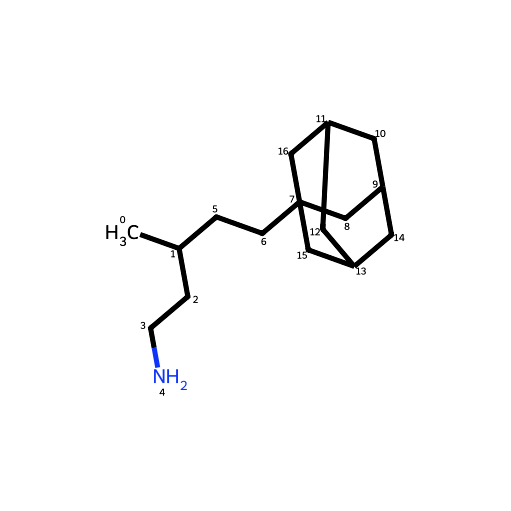 CC(CCN)CCC12CC3CC(CC(C3)C1)C2